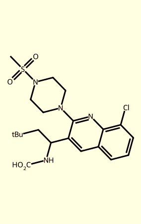 CC(C)(C)CC(NC(=O)O)c1cc2cccc(Cl)c2nc1N1CCN(S(C)(=O)=O)CC1